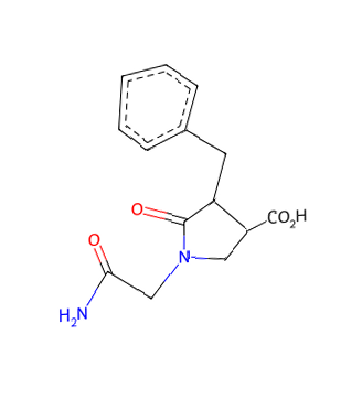 NC(=O)CN1CC(C(=O)O)C(Cc2ccccc2)C1=O